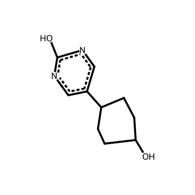 Oc1ncc(C2CCC(O)CC2)cn1